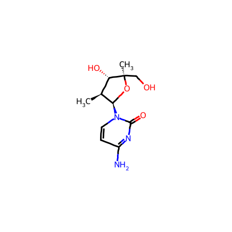 C[C@@H]1[C@H](n2ccc(N)nc2=O)O[C@](C)(CO)[C@H]1O